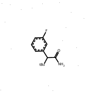 CC(C)(C)C(C(N)=O)c1cccc(F)c1